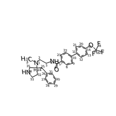 CN(CCNC(=O)c1ccc(-c2ccc(OC(F)(F)F)cc2)cc1)[C@]1(Cc2ccccc2)CCNC1